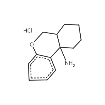 Cl.NC12CCCCC1COc1ccccc12